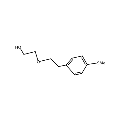 CSc1ccc(CCOCCO)cc1